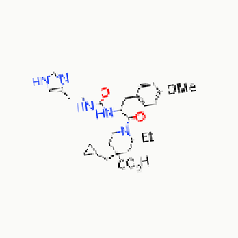 CCC1CC(CC2CC2)(C(=O)O)CCN1C(=O)C(Cc1ccc(OC)cc1)NC(=O)NCCc1c[nH]cn1